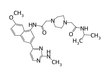 CNc1nccc(-c2cc(NC(=O)CN3CCN(CC(=O)NC(C)C)CC3)c3cc(OC)ccc3c2)n1